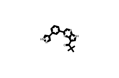 CC(C)(C)C(=O)c1c[nH]c2ncc(-c3cccc(-c4cn[nH]c4)c3)nc12